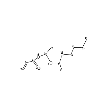 C=CC(=O)OC(C)OC(C)OCCCC